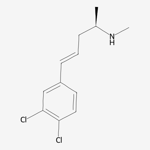 CN[C@H](C)C/C=C/c1ccc(Cl)c(Cl)c1